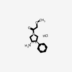 COCC(=O)N1C[C@@H](N)[C@H](c2ccccc2)C1.Cl